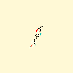 CCCC1=CCC(c2ccc(CCc3ccc(OCC)c(F)c3F)c(F)c2F)OC1